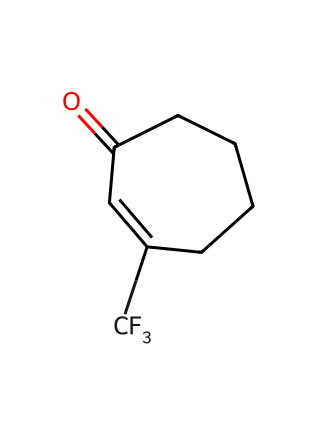 O=C1C=C(C(F)(F)F)CCCC1